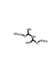 CCCCCOC(CCC)NC(CCC)OCCCCC